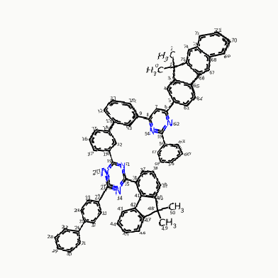 CC1(C)c2cc(-c3cc(-c4cccc(-c5cccc(-c6nc(-c7ccc(-c8ccccc8)cc7)nc(-c7cccc8c7-c7ccccc7C8(C)C)n6)c5)c4)nc(-c4ccccc4)n3)ccc2-c2cc3ccccc3cc21